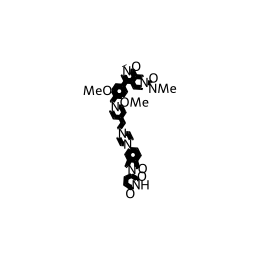 CNC(=O)N1CCc2c(-c3cc(OC)c(CN4CCC(CCN5CCN(c6ccc7c(c6)CN(C6CCC(=O)NC6=O)C7=O)CC5)CC4)c(OC)c3)cn(C)c(=O)c2C1